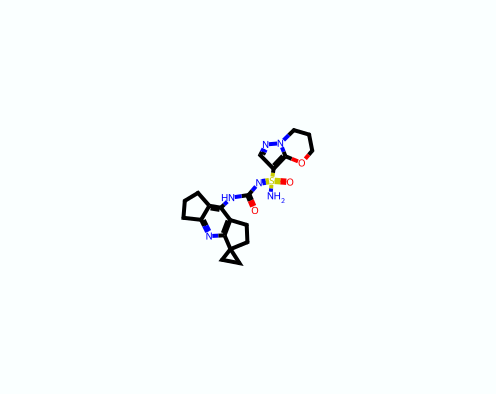 NS(=O)(=NC(=O)Nc1c2c(nc3c1CCC31CC1)CCC2)c1cnn2c1OCCC2